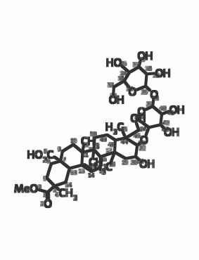 COC(=O)C1(C)CCC2(C(=O)O)CCC3(C)C(=CCC4C5(C)CC(O)C(OC6COC(OC7OC(CO)C(O)C(O)C7O)C(O)C6O)C(C)(CO)C5CCC43C)C2C1